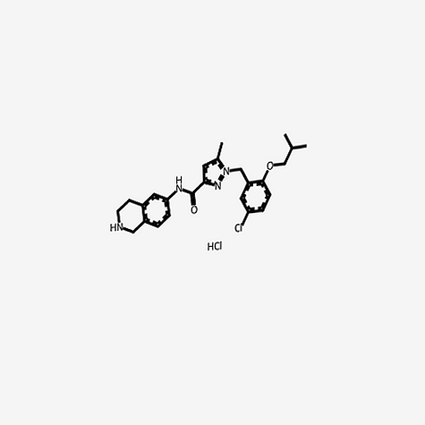 Cc1cc(C(=O)Nc2ccc3c(c2)CCNC3)nn1Cc1cc(Cl)ccc1OCC(C)C.Cl